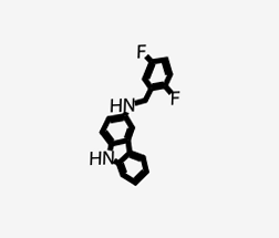 Fc1ccc(F)c(CNc2ccc3[nH]c4ccccc4c3c2)c1